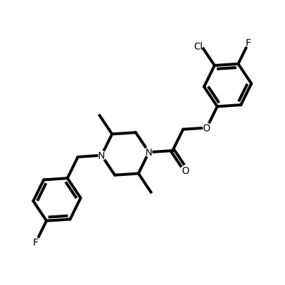 CC1CN(C(=O)COc2ccc(F)c(Cl)c2)C(C)CN1Cc1ccc(F)cc1